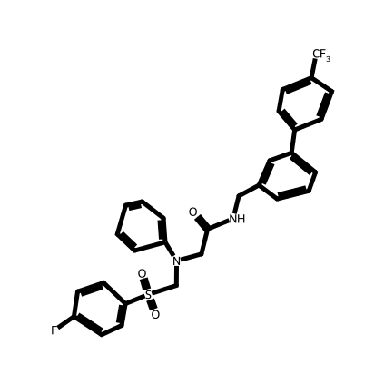 O=C(CN(CS(=O)(=O)c1ccc(F)cc1)c1ccccc1)NCc1cccc(-c2ccc(C(F)(F)F)cc2)c1